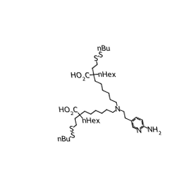 CCCCCCC(CCCCCCN(CCCCCCC(CCCCCC)(CCSSCCCC)C(=O)O)CCc1ccc(N)nc1)(CCSSCCCC)C(=O)O